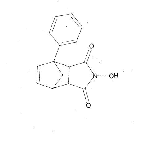 O=C1C2C3C=CC(c4ccccc4)(C3)C2C(=O)N1O